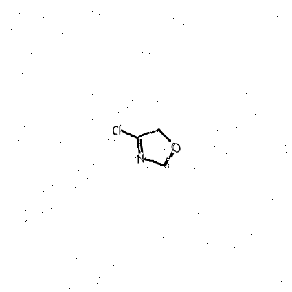 ClC1=N[C]OC1